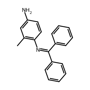 Cc1cc(N)ccc1N=C(c1ccccc1)c1ccccc1